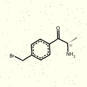 C[C@H](N)C(=O)c1ccc(CBr)cc1